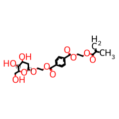 C=C(C)C(=O)OCCOC(=O)c1ccc(C(=O)OCCO[C@@H]2CC(O)[C@H](O)C(CO)O2)cc1